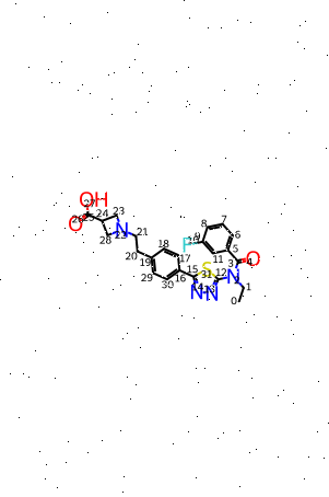 CCN(C(=O)c1cccc(F)c1)c1nnc(-c2ccc(CCN3CC(C(=O)O)C3)cc2)s1